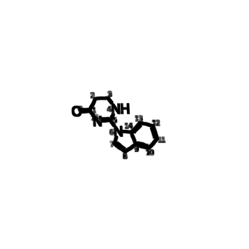 O=C1CCNC(n2ccc3ccccc32)=N1